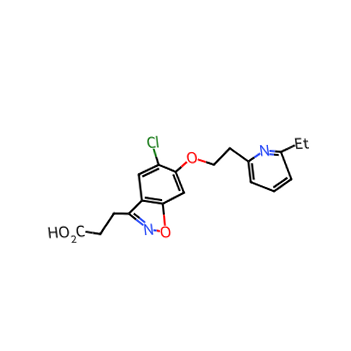 CCc1cccc(CCOc2cc3onc(CCC(=O)O)c3cc2Cl)n1